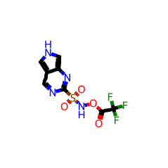 O=C(ONS(=O)(=O)c1ncc2c[nH]cc2n1)C(F)(F)F